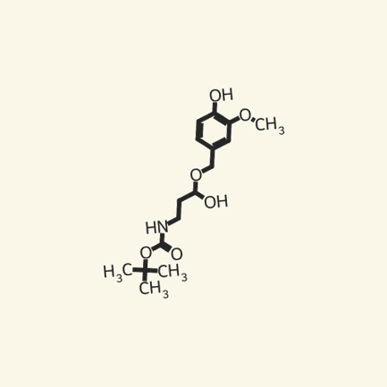 COc1cc(COC(O)CCNC(=O)OC(C)(C)C)ccc1O